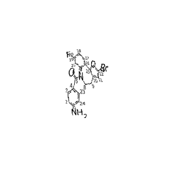 Nc1ccc(C(=O)N2CCc3cc(Br)oc3-c3ccc(F)cc32)cc1